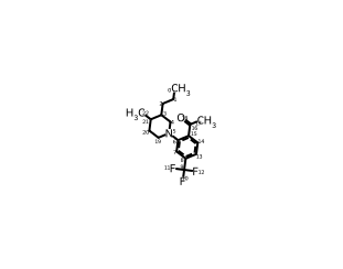 CCCC1CN(c2cc(C(F)(F)F)ccc2C(C)=O)CCC1C